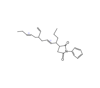 C=CC(C/C=C/CC)C/C=C/C(CCC)C1CC(=O)N(c2ccccc2)C1=O